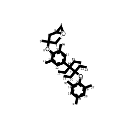 CCC(C)(CC1CO1)Oc1c(C)cc(C(CC)(CC)C(CC)(CC)Oc2c(C)cc(C)cc2C)cc1C